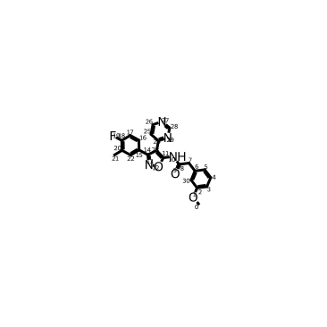 COc1cccc(CC(=O)Nc2onc(-c3ccc(F)c(C)c3)c2-c2ccncn2)c1